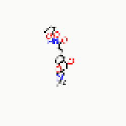 CC(=O)N1CC2(CC(=O)c3cc(/C=C/C(=O)NOC4CCCCO4)ccc3O2)C1